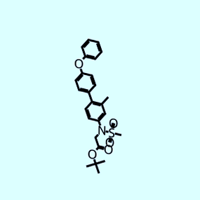 Cc1cc(N(CC(=O)OC(C)(C)C)S(C)(=O)=O)ccc1-c1ccc(Oc2ccccc2)cc1